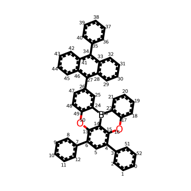 c1ccc(-c2cc(-c3ccccc3)c3c4c2Oc2ccccc2B4c2cc(-c4c5ccccc5c(-c5ccccc5)c5ccccc45)ccc2O3)cc1